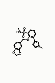 CNS(=O)(=O)c1cccc(-c2cn(C)cn2)c1NCc1ccc2c(c1)OCO2